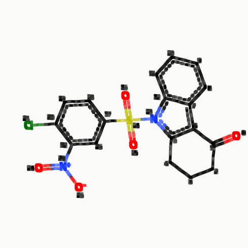 O=C1CCCc2c1c1ccccc1n2S(=O)(=O)c1ccc(Cl)c([N+](=O)[O-])c1